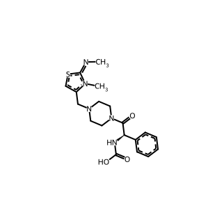 CN=c1scc(CN2CCN(C(=O)[C@H](NC(=O)O)c3ccccc3)CC2)n1C